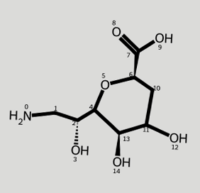 NC[C@@H](O)C1O[C@@H](C(=O)O)CC(O)[C@H]1O